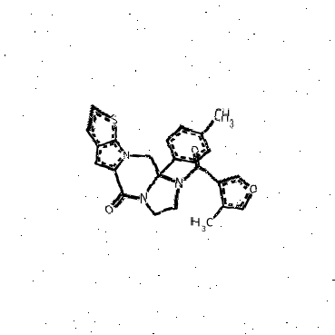 Cc1ccc(C23Cn4c(cc5ccsc54)C(=O)N2CCN3C(=O)c2cocc2C)cc1